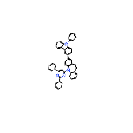 C1=Cc2cc(-c3ccc4c(c3)c3ccccc3n4-c3ccccc3)ccc2N(c2cc(-c3ccccc3)nc(-c3ccccc3)n2)c2ccccc21